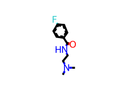 CN(C)CCNC(=O)c1ccc(F)cc1